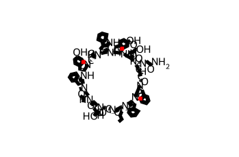 CCCC[C@H]1C(=O)N(C)CC(=O)N[C@@H](CC(=O)O)C(=O)N[C@@H](C(C)C)C(=O)N(C)[C@@H](Cc2ccccc2)C(=O)N[C@@H](Cc2ccc(O)cc2)C(=O)N(C)CC(=O)N[C@@H](Cc2c[nH]c3ccccc23)C(=O)N[C@@H](Cc2ccc(O)cc2)C(=O)N[C@@H](CCC(=O)O)C(=O)N[C@H](C(=O)NCC(N)=O)CSCC(=O)N[C@@H](Cc2ccccc2)C(=O)N(C)[C@@H](Cc2ccccc2)C(=O)N1C